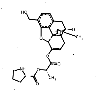 C[C@H](OC(=O)[C@@H]1CCCN1)C(=O)OC1=CC[C@@]2(O)[C@H]3Cc4ccc(CO)c5c4C2(CCN3C)C1O5